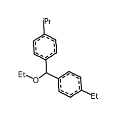 CCOC(c1ccc(CC)cc1)c1ccc(C(C)C)cc1